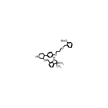 COc1ccccc1COCCCOc1ccc(C2CCNCC2OCc2cccc3c2NCC3(C)C)cc1